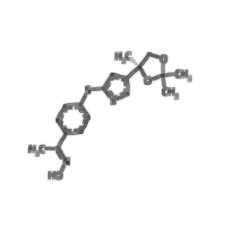 CC(=NO)c1ccc(Sc2cc([C@@]3(C)COC(C)(C)O3)cs2)cc1